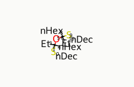 CCCCCCCCCCSC(CC)(CCCCCC)OC(CC)(CCCCCC)SCCCCCCCCCC